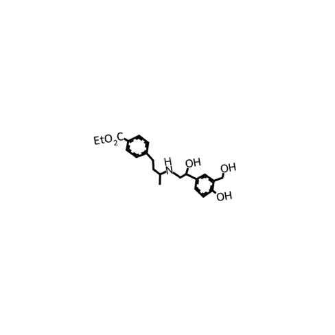 CCOC(=O)c1ccc(CCC(C)NCC(O)c2ccc(O)c(CO)c2)cc1